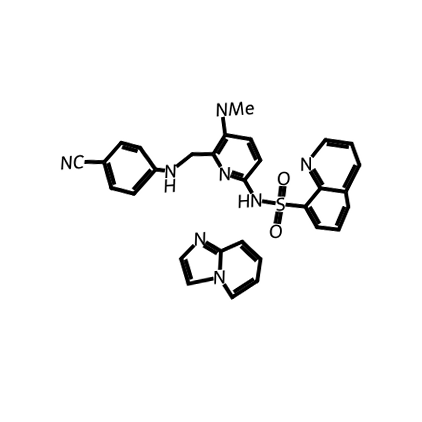 CNc1ccc(NS(=O)(=O)c2cccc3cccnc23)nc1CNc1ccc(C#N)cc1.c1ccn2ccnc2c1